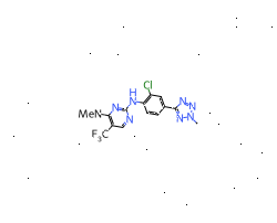 CNc1nc(Nc2ccc(-c3nnn(C)n3)cc2Cl)ncc1C(F)(F)F